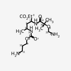 CCOC(=O)C(CC(C)NC(=O)OCCCN)NC(=O)C(C)(C)OCN